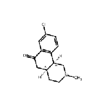 CN1CC[C@H]2CC(=O)c3cc(Cl)ccc3[C@H]2C1